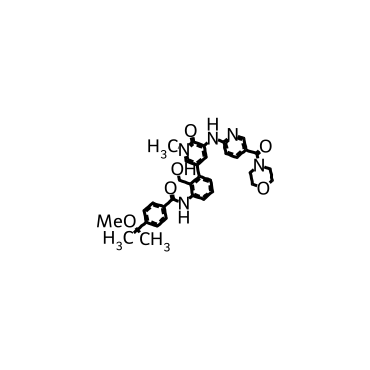 COC(C)(C)c1ccc(C(=O)Nc2cccc(-c3cc(Nc4ccc(C(=O)N5CCOCC5)cn4)c(=O)n(C)c3)c2CO)cc1